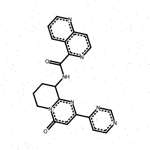 O=C(NC1CCCn2c1nc(-c1ccncn1)cc2=O)c1nccc2ncccc12